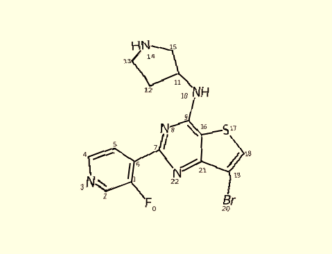 Fc1cnccc1-c1nc(NC2CCNC2)c2scc(Br)c2n1